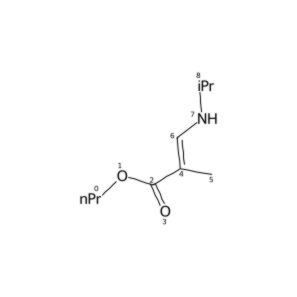 CCCOC(=O)C(C)=CNC(C)C